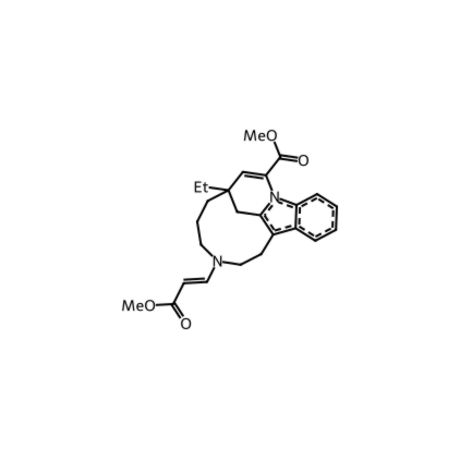 CCC12C=C(C(=O)OC)n3c(c(c4ccccc43)CCN(/C=C/C(=O)OC)CCC1)C2